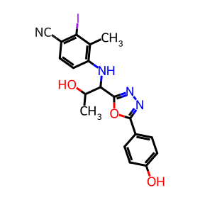 Cc1c(NC(c2nnc(-c3ccc(O)cc3)o2)C(C)O)ccc(C#N)c1I